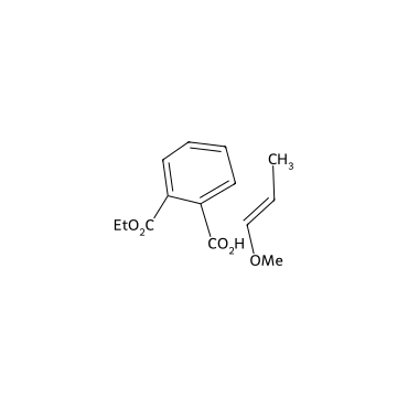 CC=COC.CCOC(=O)c1ccccc1C(=O)O